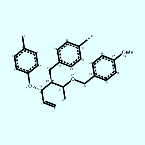 C=C[C@H](Oc1ccc(C)cc1)[C@@H](Cc1ccc(F)cc1)C(C)OCc1ccc(OC)cc1